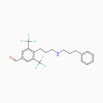 O=Cc1cc(C(F)(F)F)c([CH]CCNCCCc2ccccc2)c(C(F)(F)F)c1